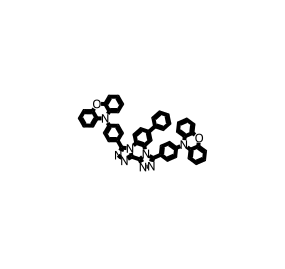 c1ccc(-c2ccc3c(c2)n2c(-c4ccc(N5c6ccccc6Oc6ccccc65)cc4)nnc2c2nnc(-c4ccc(N5c6ccccc6Oc6ccccc65)cc4)n32)cc1